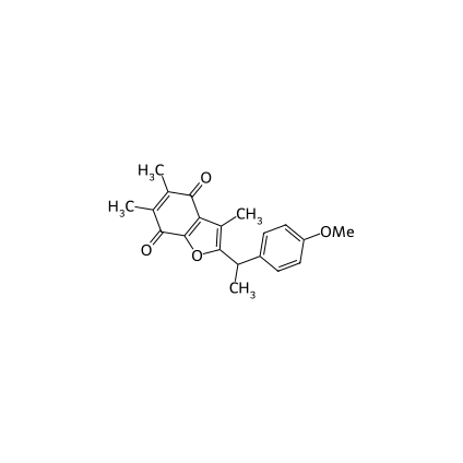 COc1ccc(C(C)c2oc3c(c2C)C(=O)C(C)=C(C)C3=O)cc1